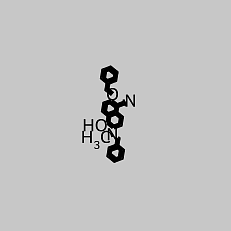 CN(Cc1ccccc1)C1CCc2c(ccc(OCc3ccccc3)c2C#N)C1O